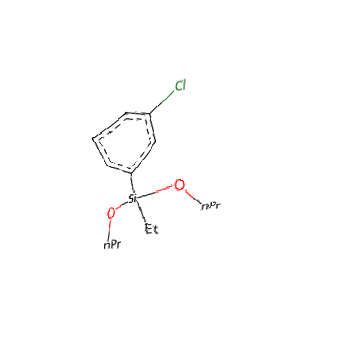 CCCO[Si](CC)(OCCC)c1cccc(Cl)c1